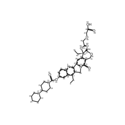 CCc1c2c(nc3ccc(OC(=O)N4CCC(N5CCCCC5)CC4)cc13)-c1cc3c(c(=O)n1C2)COC(=O)[C@@]3(CC)OC(=O)COCC(=O)O